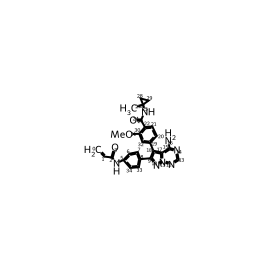 C=CC(=O)Nc1ccc(-c2nn3ncnc(N)c3c2-c2ccc(C(=O)NC3(C)CC3)c(OC)c2)cc1